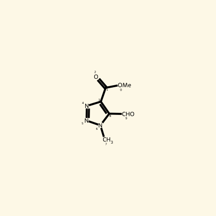 COC(=O)c1nnn(C)c1C=O